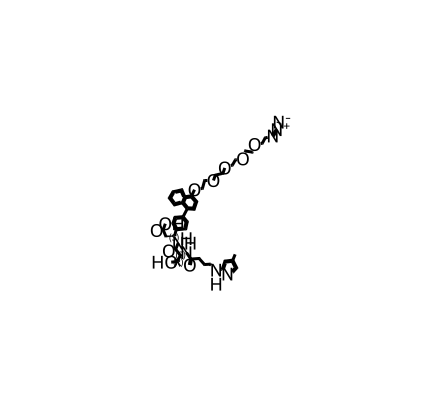 Cc1ccnc(NCCCC(=O)N[C@H](C(=O)N[C@@H](CC(=O)O)c2ccc(-c3ccc(OCCOCCOCCOCCOCCN=[N+]=[N-])c4ccccc34)cc2)[C@@H](C)O)c1